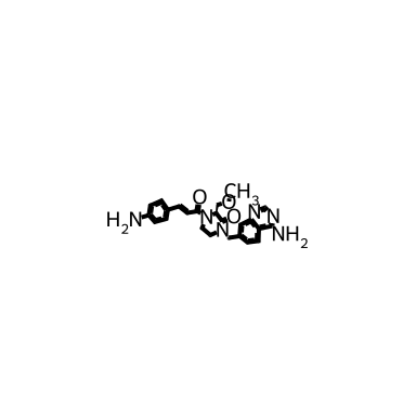 COC[C@H]1C(=O)N(Cc2ccc3c(N)ncnc3c2)CCN1C(=O)C=Cc1ccc(N)cc1